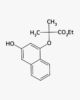 CCOC(=O)C(C)(C)Oc1cc(O)cc2ccccc12